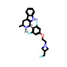 CC(=O)N1C(C)Cc2c([nH]c3ccccc23)[C@H]1c1c(F)cc(OCCN2CC(CF)C2)cc1F